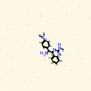 CNc1nc(C(N)c2ccc(N(C)C)cc2)c2ccccc2n1